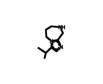 CC(C)c1cnc2n1CCCNC2